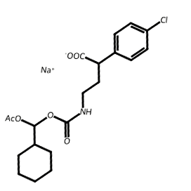 CC(=O)OC(OC(=O)NCCC(C(=O)[O-])c1ccc(Cl)cc1)C1CCCCC1.[Na+]